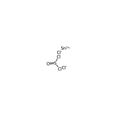 O=S(Cl)Cl.[Cl-].[Cl-].[Sn+2]